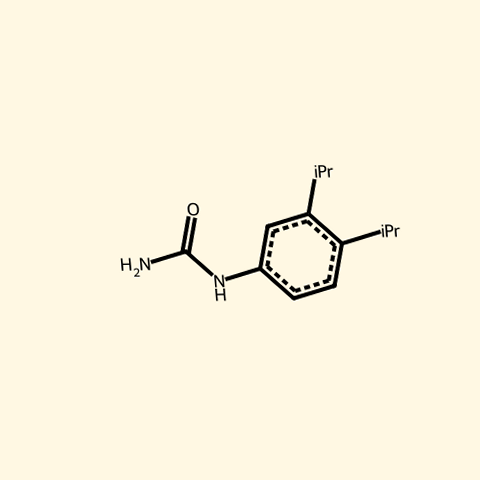 CC(C)c1ccc(NC(N)=O)cc1C(C)C